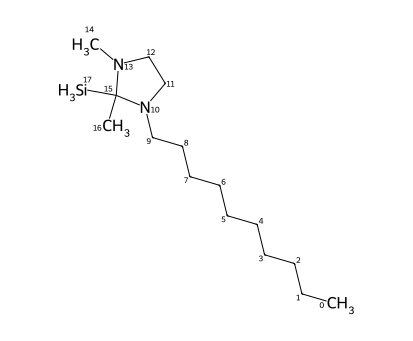 CCCCCCCCCCN1CCN(C)C1(C)[SiH3]